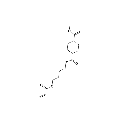 C=CC(=O)OCCCCOC(=O)C1CCC(C(=O)OI)CC1